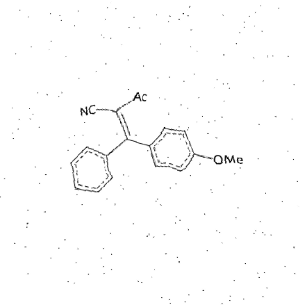 COc1ccc(/C(=C(/C#N)C(C)=O)c2ccccc2)cc1